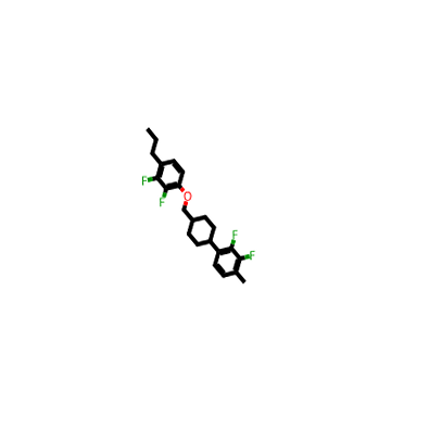 CCCc1ccc(OCC2CCC(c3ccc(C)c(F)c3F)CC2)c(F)c1F